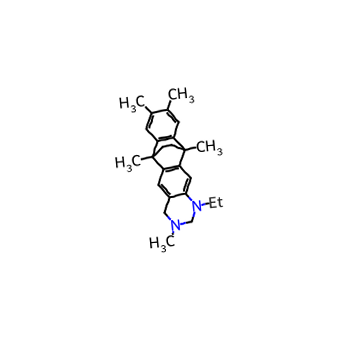 CCN1CN(C)Cc2cc3c(cc21)C1(C)CCC3(C)c2cc(C)c(C)cc21